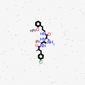 C=C(N[C@@H](CN)C(=O)NCCCc1ccccc1OCCC)[C@H](NC(=O)[C@H](C)Cc1ccc(Cl)cc1)C(C)C